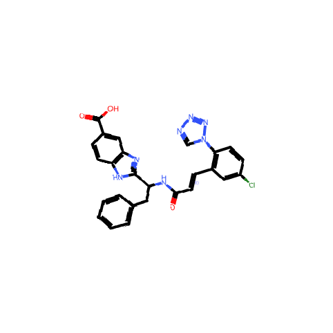 O=C(/C=C/c1cc(Cl)ccc1-n1cnnn1)NC(Cc1ccccc1)c1nc2cc(C(=O)O)ccc2[nH]1